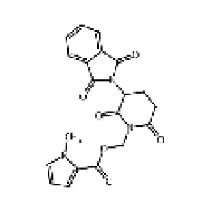 Cn1cccc1C(=O)OCN1C(=O)CCC(N2C(=O)c3ccccc3C2=O)C1=O